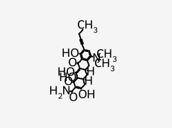 CCCC#Cc1cc(N(C)C)c2c(c1O)C(=O)C1=C(O)[C@]3(O)C(=O)C(C(N)=O)=C(O)C[C@@H]3C[C@@H]1C2